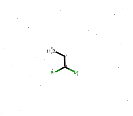 BCC(Br)Br